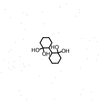 OC1(O)CCCCC1C1CCCCC1(O)O